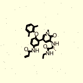 C=CC(=O)Nc1ccc(Oc2c(C)cccc2C)c(-c2cc(N[C@H](C)C(=O)NCC)c(=O)n(C)c2)c1